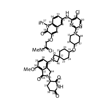 CNC(=O)COc1cc2cc(Nc3nc(N4CCC(OC5CCC6(CC5)CN(c5ccc(OC)c7c5CN(C5CCC(=O)NC5=O)C7=O)C6)CC4)ncc3Cl)ccc2n(C(C)C)c1=O